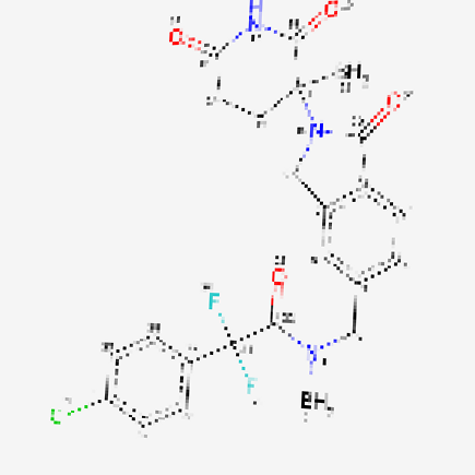 BN(Cc1ccc2c(c1)CN(C1(B)CCC(=O)NC1=O)C2=O)C(=O)C(F)(F)c1ccc(Cl)cc1